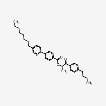 CCCCCCCCc1ccc(-c2ccc(C(=O)OC(C)C(=O)c3ccc(CCCC)cc3)cc2)nc1